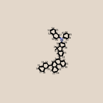 CC1(C)c2cc(-c3cc4cc(-c5ccc6ccccc6c5)c5ccccc5c4c4ccccc34)ccc2-c2ccc(N(c3ccccc3)c3ccc4ccccc4c3)cc21